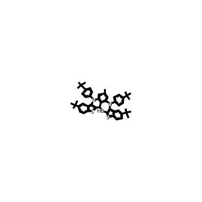 Cc1cc2c3c(c1)N(c1ccc(C(C)(C)C)cc1)c1c(sc4ccc(C(C)(C)C)cc14)C3Bc1sc3ccc(C(C)(C)C)cc3c1N2c1ccc(C(C)(C)C)cc1